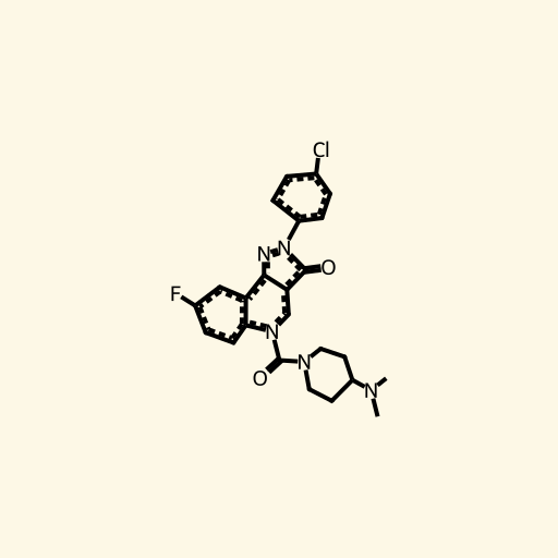 CN(C)C1CCN(C(=O)n2cc3c(=O)n(-c4ccc(Cl)cc4)nc-3c3cc(F)ccc32)CC1